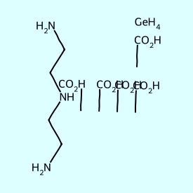 CC(=O)O.CC(=O)O.CC(=O)O.CC(=O)O.CC(=O)O.NCCNCCN.[GeH4]